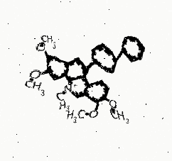 COc1cc2cc(-c3ccc(-c4ccccc4)cc3)c3c4ccc(OC)c(OC)c4c[n+](C)c3c2cc1OC